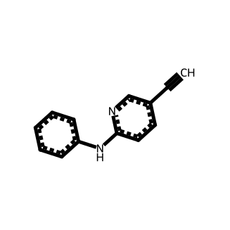 C#Cc1ccc(Nc2ccccc2)nc1